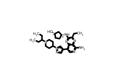 CCc1nc2c(N)ncc(-c3cnn(C4CCN(C(CC)CC)CC4)c3)c2nc1N[C@@H]1CC[C@H](O)C1